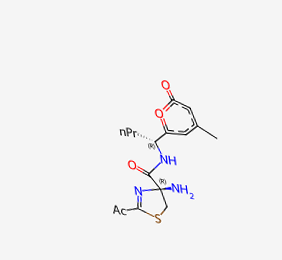 CCC[C@@H](NC(=O)[C@]1(N)CSC(C(C)=O)=N1)c1cc(C)cc(=O)o1